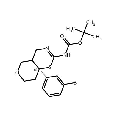 CC(C)(C)OC(=O)NC1=NCC2COCC[C@]2(c2cccc(Br)c2)S1